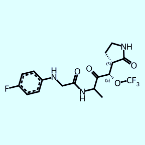 CC(NC(=O)CNc1ccc(F)cc1)C(=O)[C@@H](OC(F)(F)F)[C@@H]1CCNC1=O